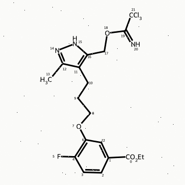 CCOC(=O)c1ccc(F)c(OCCCc2c(C)n[nH]c2COC(=N)C(Cl)(Cl)Cl)c1